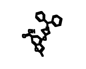 Cc1cc2c(OC3CN(C(c4ccccc4)c4ccccc4)C3)cc(C(=O)O)cc2o1